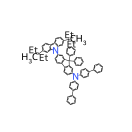 CCC(C)(CC)c1ccc2c3ccc(C(C)(CC)CC)cc3n(-c3ccc4c(c3)C(c3ccccc3)(c3ccccc3)c3cc(N(c5ccc(-c6ccccc6)cc5)c5ccc(-c6ccccc6)cc5)ccc3-4)c2c1